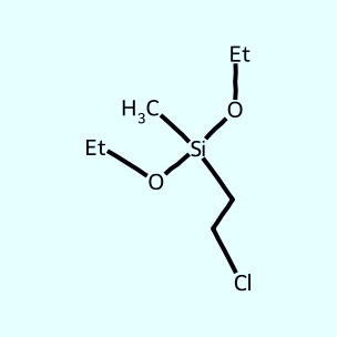 CCO[Si](C)(CCCl)OCC